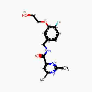 Cc1nc(C#N)cc(C(=O)NCc2ccc(F)c(OCCO)c2)n1